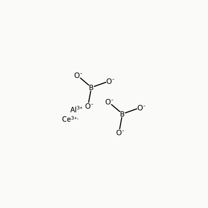 [Al+3].[Ce+3].[O-]B([O-])[O-].[O-]B([O-])[O-]